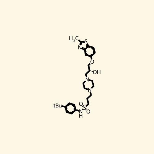 Cc1nc2cc(OC[C@H](O)CN3CCN(CCCS(=O)(=O)Nc4ccc(C(C)(C)C)cc4)CC3)ccc2s1